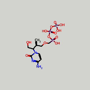 C=C(COCP(=O)(O)OP(=O)(O)OP(=O)(O)O)C(CO)n1ccc(N)nc1=O